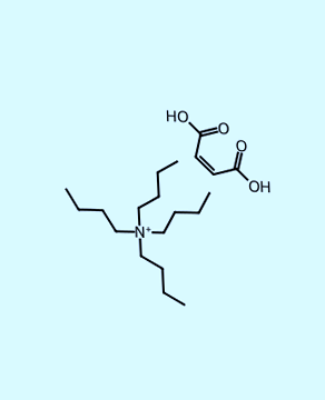 CCCC[N+](CCCC)(CCCC)CCCC.O=C(O)/C=C\C(=O)O